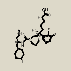 CNC[C@H](CC1CCC(F)CC1)NC(=O)N1CCC[C@@H]([C@@](O)(CCCNC(=O)O)c2cccc(F)c2F)C1